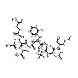 CCCCC(C=O)NC(=O)[C@H](CC(C)C)NC(=O)[C@@H](NC(=O)[C@H](Cc1ccccc1C)NC(=O)[C@H](CCC(=O)O)NC(=O)[C@H](CC(=O)O)NC(=O)CCC(=O)O)C(C)(C)C